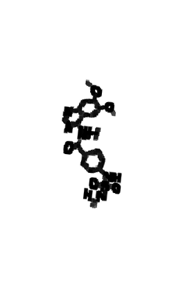 COc1cc2ncnc(NC(=O)c3ccc(NS(N)(=O)=O)cc3)c2cc1OC